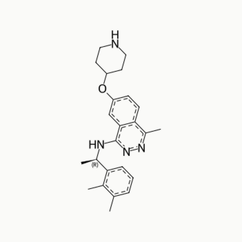 Cc1cccc([C@@H](C)Nc2nnc(C)c3ccc(OC4CCNCC4)cc23)c1C